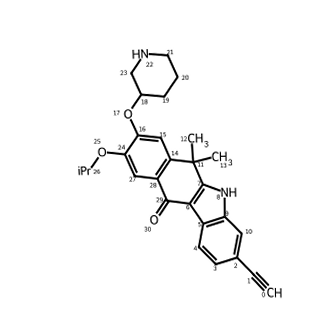 C#Cc1ccc2c3c([nH]c2c1)C(C)(C)c1cc(OC2CCCNC2)c(OC(C)C)cc1C3=O